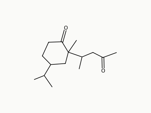 CC(=O)CC(C)C1(C)CC(C(C)C)CCC1=O